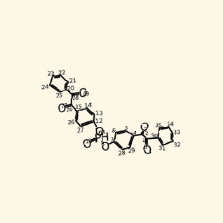 O=C(C(=O)c1ccc(O[PH](=O)Oc2ccc(C(=O)C(=O)c3ccccc3)cc2)cc1)c1ccccc1